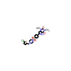 CCCn1c(=O)n(C)c(=O)c2[nH]c(-c3ccc(S(=O)(=O)N4CCN(Cc5ccc(Cl)s5)CC4)cc3)cc21